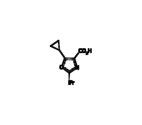 CC(C)c1nc(C(=O)O)c(C2CC2)o1